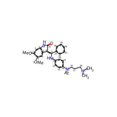 COc1cc2c(cc1OC)/C(=C(\Nc1ccc(N(CCCN(C)C)C(C)=O)cc1)c1ccccc1)C(=O)N2